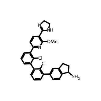 COc1nc(-c2cccc(-c3cccc(-c4ccc5c(c4)CCC5N)c3Cl)c2Cl)ccc1C1=NCCN1